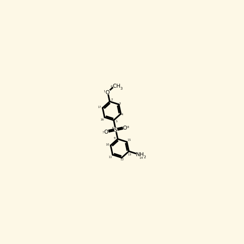 COc1ccc(S(=O)(=O)c2cccc(N)c2)cc1